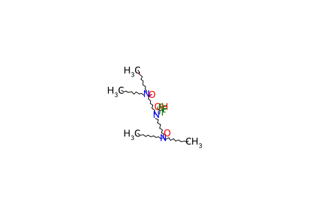 CCCCCCCCCCN(CCCCCCCCCC)C(=O)CCCCCCCN(CCCCCCCC(=O)N(CCCCCCCCCC)CCCCCCCCCC)CC(CO)C(F)(F)F